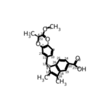 COC(=O)[C@H](C)Oc1cccc(Cn2c(C)c(C)c3cc(C(=O)O)ccc32)c1